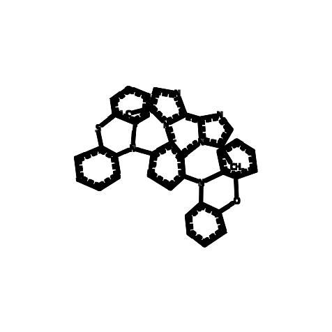 Cc1cnc2c3ncc(C)n3c3c(N4c5ccccc5Sc5ccccc54)ccc(N4c5ccccc5Oc5ccccc54)c3n12